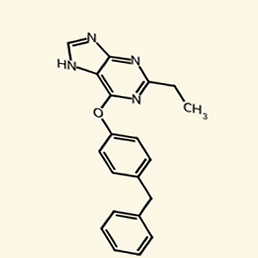 CCc1nc(Oc2ccc(Cc3ccccc3)cc2)c2[nH]cnc2n1